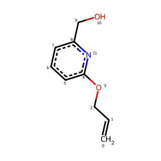 C=CCOc1cccc(CO)n1